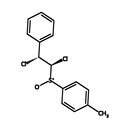 Cc1ccc([S+]([O-])[C@H](Cl)[C@H](Cl)c2ccccc2)cc1